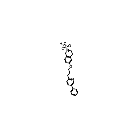 CS(=O)(=O)N1CCc2cc(OCCCc3ccc(-c4ccccc4)cn3)ccc2C1